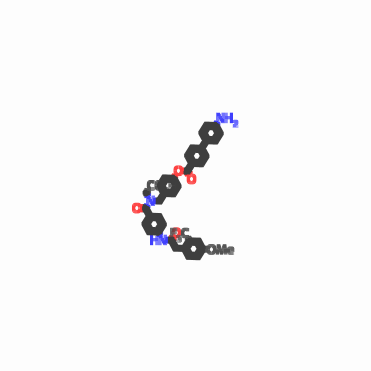 COc1ccc(CC(=O)Nc2ccc(C(=O)N(CC(=O)O)Cc3ccc(OC(=O)c4ccc(-c5ccc(N)cc5)cc4)cc3)cc2)c(C(F)(F)F)c1